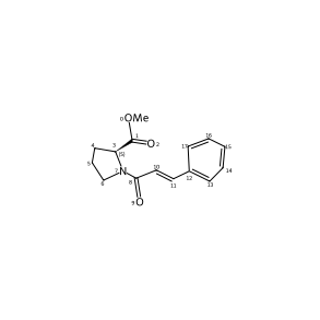 COC(=O)[C@@H]1CCCN1C(=O)C=Cc1ccccc1